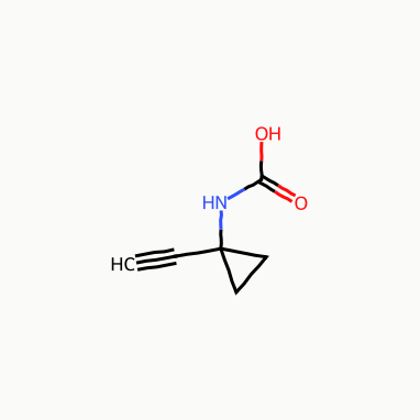 C#CC1(NC(=O)O)CC1